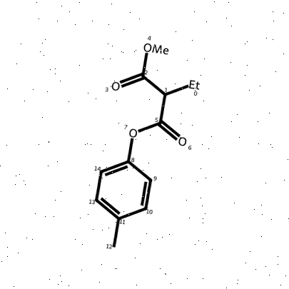 CCC(C(=O)OC)C(=O)Oc1ccc(C)cc1